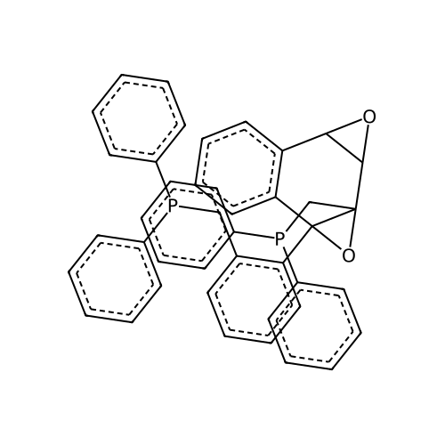 c1ccc(P(Cc2ccccc2C23OC2(CP(c2ccccc2)c2ccccc2)C2OC2c2ccccc23)c2ccccc2)cc1